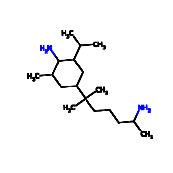 CC(N)CCCC(C)(C)C1CC(C)C(N)C(C(C)C)C1